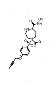 CC#CCOc1ccc(S(=O)(=O)[N+]2(C(=O)[O-])CCNC(C(=O)NO)CC2)cc1